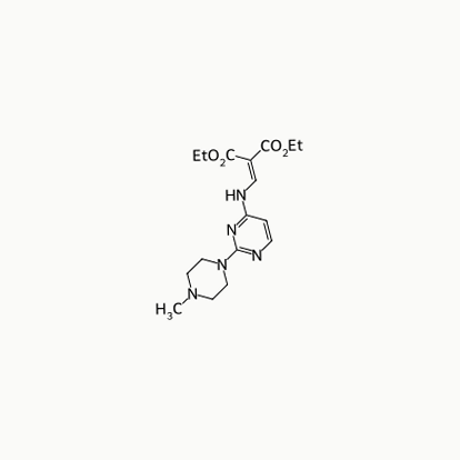 CCOC(=O)C(=CNc1ccnc(N2CCN(C)CC2)n1)C(=O)OCC